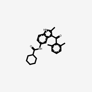 Cc1cccc(C)c1C(=O)c1c(C)[nH]c2ccc(NC(=O)C3CCCCC3)cc12